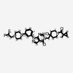 CC1(C(=O)N2CCC(O)(Cn3cnc4c(cnn4-c4cccc(N5CCN(CC(F)F)CC5)c4)c3=O)CC2)CC1